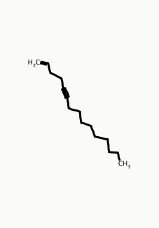 C=CCCC#CCCCCCCCCC